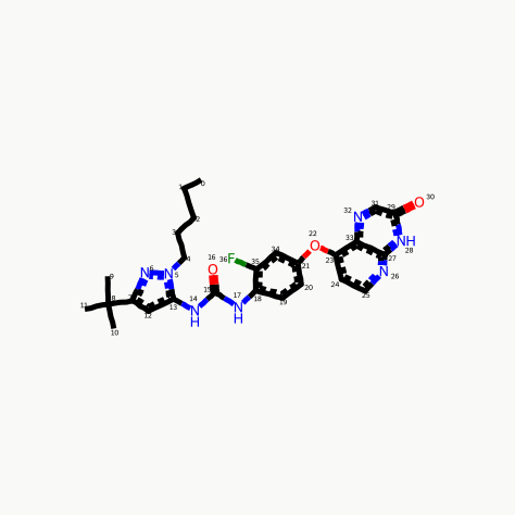 CCCCCn1nc(C(C)(C)C)cc1NC(=O)Nc1ccc(Oc2ccnc3[nH]c(=O)cnc23)cc1F